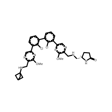 COc1nc(-c2cccc(-c3cccc(-c4cnc(CNC56CC(C5)C6)c(OC)n4)c3Cl)c2Cl)cnc1CNC[C@@H]1CCC(=O)N1